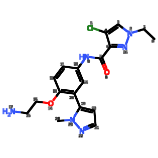 CCn1cc(Cl)c(C(=O)Nc2ccc(OCCN)c(-c3ccnn3C)c2)n1